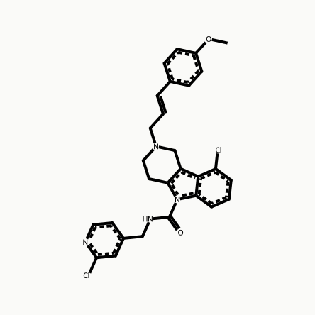 COc1ccc(/C=C/CN2CCc3c(c4c(Cl)cccc4n3C(=O)NCc3ccnc(Cl)c3)C2)cc1